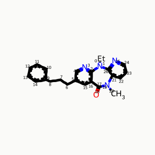 CCN1c2ncc(CCCc3ccccc3)cc2C(=O)N(C)c2cccnc21